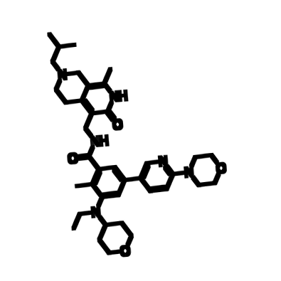 CCN(c1cc(-c2ccc(N3CCOCC3)nc2)cc(C(=O)NCc2c3c(c(C)[nH]c2=O)CN(CC(C)C)CC3)c1C)C1CCOCC1